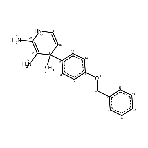 CC1(c2ccc(OCc3ccccc3)cc2)C=CNC(N)=C1N